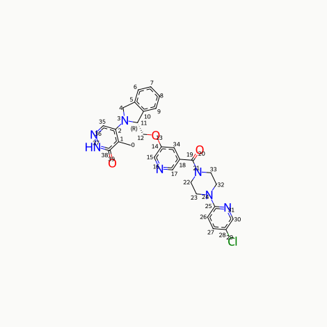 Cc1c(N2Cc3ccccc3[C@@H]2COc2cncc(C(=O)N3CCN(c4ccc(Cl)cn4)CC3)c2)cn[nH]c1=O